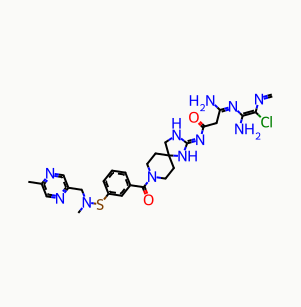 C=N/C(Cl)=C(N)\N=C(\N)CC(=O)/N=C1\NCC2(CCN(C(=O)c3cccc(SN(C)Cc4cnc(C)cn4)c3)CC2)N1